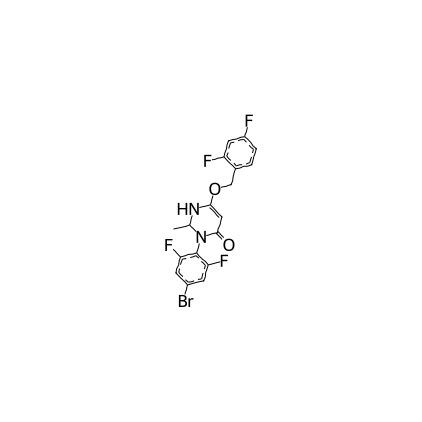 CC1NC(OCc2ccc(F)cc2F)=CC(=O)N1c1c(F)cc(Br)cc1F